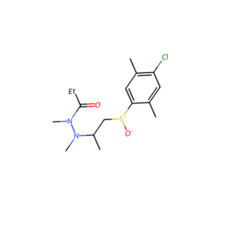 CCC(=O)N(C)N(C)C(C)C[S+]([O-])c1cc(C)c(Cl)cc1C